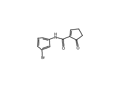 O=C1CCC=C1C(=O)Nc1cccc(Br)c1